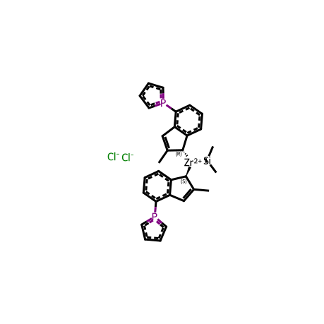 CC1=Cc2c(cccc2-p2cccc2)[C@@H]1[Zr+2]([C@H]1C(C)=Cc2c1cccc2-p1cccc1)=[Si](C)C.[Cl-].[Cl-]